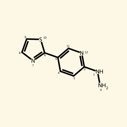 NNc1ccc(-c2nccs2)cn1